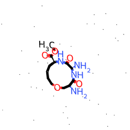 COC(=O)[C@@H]1CCCCOC[C@H](N)C(=O)N[C@@H](N)C(=O)N1